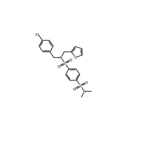 CN(C)S(=O)(=O)c1ccc(S(=O)(=O)N(Cc2ccc(Cl)cc2)Cc2ccco2)cc1